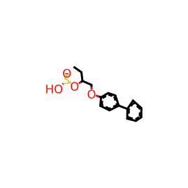 CCC(COc1ccc(-c2ccccc2)cc1)OS(=O)O